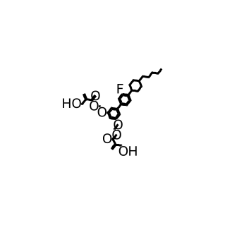 C=C(CO)C(=O)OCOc1cc(OCOC(=O)C(=C)CO)cc(-c2ccc(C3CCC(CCCCC)CC3)c(F)c2)c1